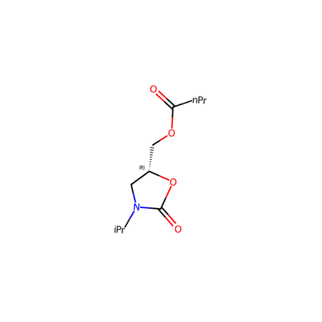 CCCC(=O)OC[C@H]1CN(C(C)C)C(=O)O1